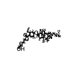 CCc1cc(Oc2nccn3c(-c4cn(CCN(C)C)nc4C(F)(F)F)cnc23)ccc1C(=O)OCCOCCO